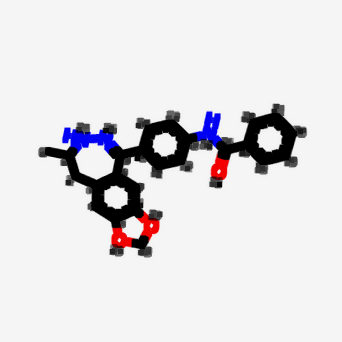 CC1Cc2cc3c(cc2C(c2ccc(NC(=O)c4ccccc4)cc2)=NN1)OCO3